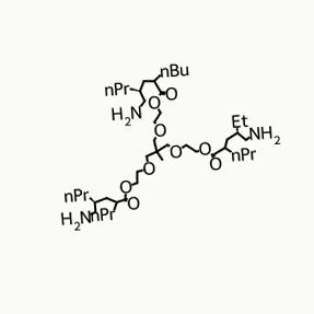 CCCCC(C[C@@H](CN)CCC)C(=O)OCCOCC(C)(COCCOC(=O)C(CCC)C[C@@H](CC)CN)COCCOC(=O)C(CCC)C[C@@H](CN)CCC